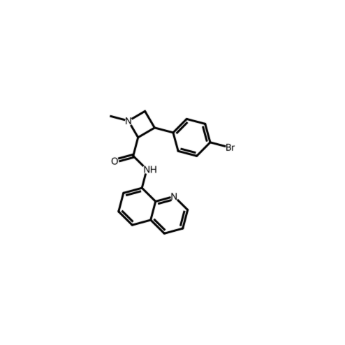 CN1CC(c2ccc(Br)cc2)C1C(=O)Nc1cccc2cccnc12